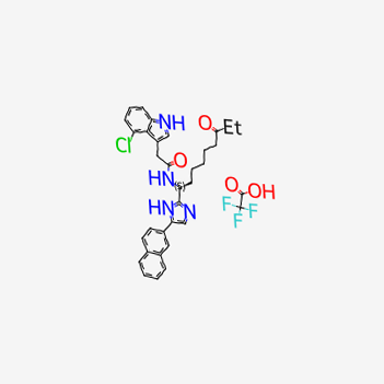 CCC(=O)CCCCC[C@H](NC(=O)Cc1c[nH]c2cccc(Cl)c12)c1ncc(-c2ccc3ccccc3c2)[nH]1.O=C(O)C(F)(F)F